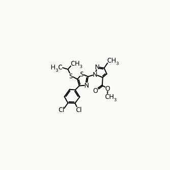 COC(=O)c1cc(C)nn1-c1nc(-c2ccc(Cl)c(Cl)c2)c(SC(C)C)s1